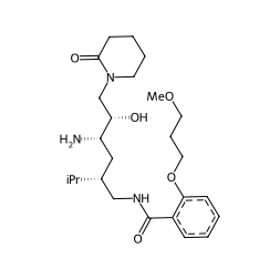 COCCCOc1ccccc1C(=O)NC[C@@H](C[C@H](N)[C@@H](O)CN1CCCCC1=O)C(C)C